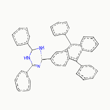 c1ccc(C2=NC(c3ccc4c(-c5ccccc5)c5ccccc5c(-c5ccccc5)c4c3)NC(c3ccccc3)N2)cc1